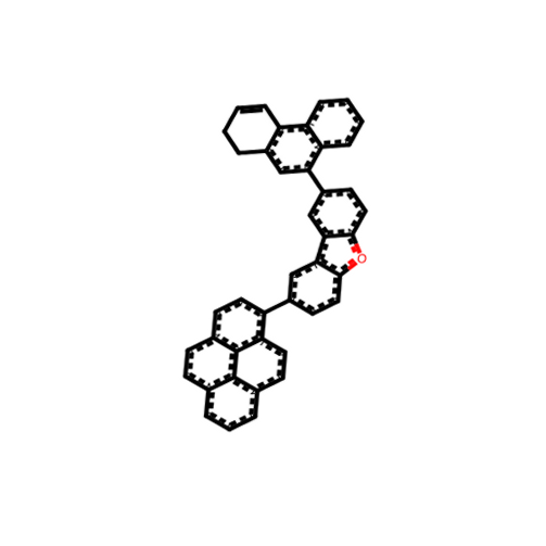 C1=Cc2c(cc(-c3ccc4oc5ccc(-c6ccc7ccc8cccc9ccc6c7c89)cc5c4c3)c3ccccc23)CC1